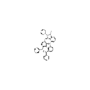 O=C(c1ccccc1)c1cccc2c1c1c(C(=O)c3ccccc3)cccc1n2-c1cccc2c1C(=O)N(c1ccccc1)C2=O